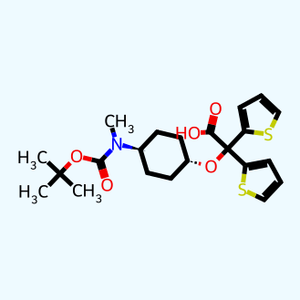 CN(C(=O)OC(C)(C)C)[C@H]1CC[C@H](OC(C(=O)O)(c2cccs2)c2cccs2)CC1